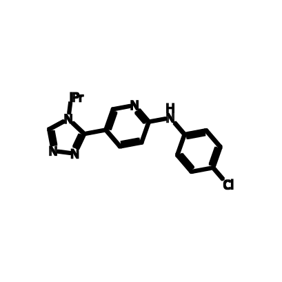 CC(C)n1cnnc1-c1ccc(Nc2ccc(Cl)cc2)nc1